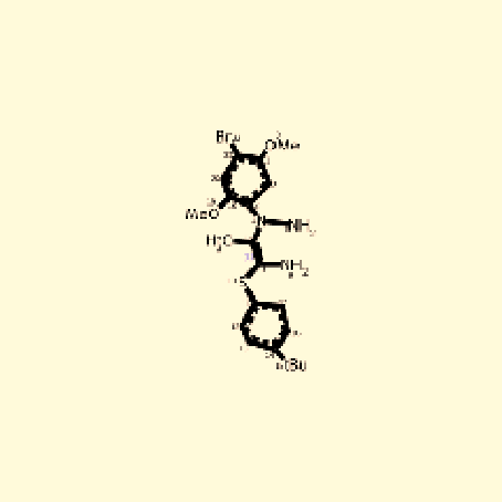 COc1cc(N(N)/C(C)=C(\N)Sc2ccc(C(C)(C)C)cc2)c(OC)cc1Br